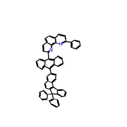 c1ccc(-c2ccc3ccc4ccc(-c5c6ccccc6c(-c6ccc7c8c(ccc7c6)C(c6ccccc6)(c6ccccc6)c6ccccc6-8)c6ccccc56)nc4c3n2)cc1